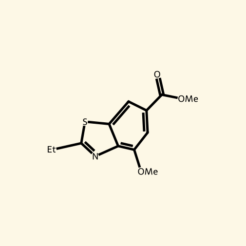 CCc1nc2c(OC)cc(C(=O)OC)cc2s1